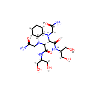 NC(=O)CN(CC(=O)NC(CO)CO)[C@@H]1CCCC[C@H]1N(CC(N)=O)CC(=O)NC(CO)CO